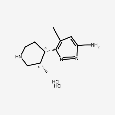 Cc1cc(N)nnc1[C@H]1CCNC[C@H]1C.Cl.Cl